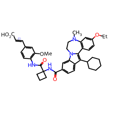 CCOc1ccc2c(c1)N(C)CCn1c-2c(C2CCCCC2)c2ccc(C(=O)NC3(C(=O)Nc4ccc(/C=C/C(=O)O)cc4OC)CCC3)cc21